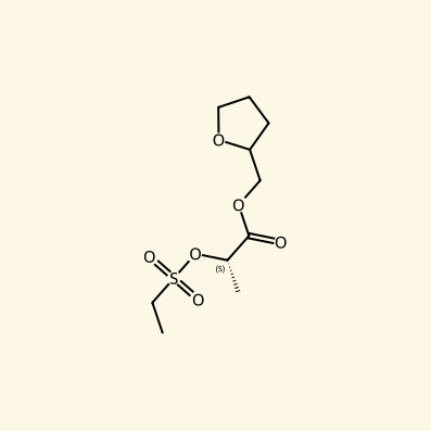 CCS(=O)(=O)O[C@@H](C)C(=O)OCC1CCCO1